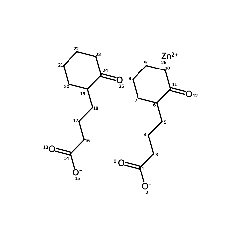 O=C([O-])CCCC1CCCCC1=O.O=C([O-])CCCC1CCCCC1=O.[Zn+2]